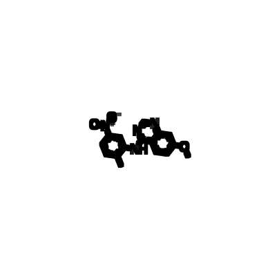 COc1ccc2c(Nc3cc([N+](=O)[O-])ccc3C)ncnc2c1